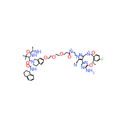 CN[C@H](C)C(=O)N[C@@H](C(=O)N1Cc2cc(OCCOCCOCCC(=O)N(C)CCn3nc4c(c3C#N)-c3cnc(N)c(n3)O[C@H](C)c3cc(F)ccc3C(=O)N(C)C4)ccc2C[C@@H]1C(=O)N[C@H]1CCCc2ccccc21)C(C)(C)C